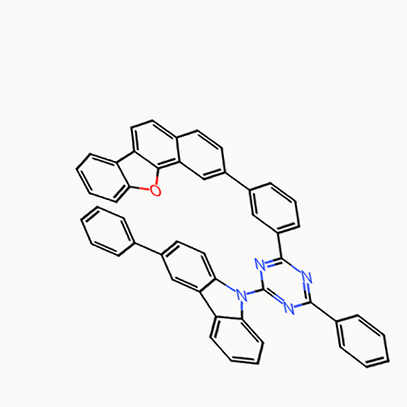 c1ccc(-c2ccc3c(c2)c2ccccc2n3-c2nc(-c3ccccc3)nc(-c3cccc(-c4ccc5ccc6c7ccccc7oc6c5c4)c3)n2)cc1